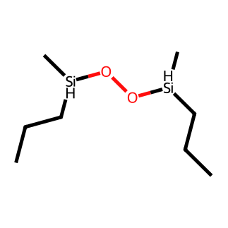 CCC[SiH](C)OO[SiH](C)CCC